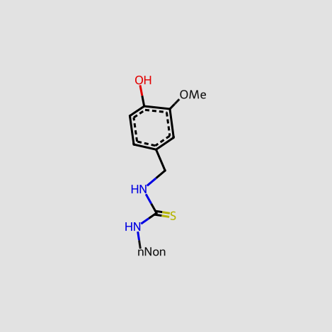 CCCCCCCCCNC(=S)NCc1ccc(O)c(OC)c1